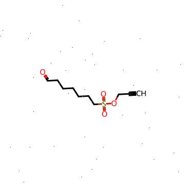 C#CCOS(=O)(=O)CCCCCCC=O